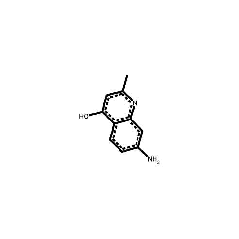 Cc1cc(O)c2ccc(N)cc2n1